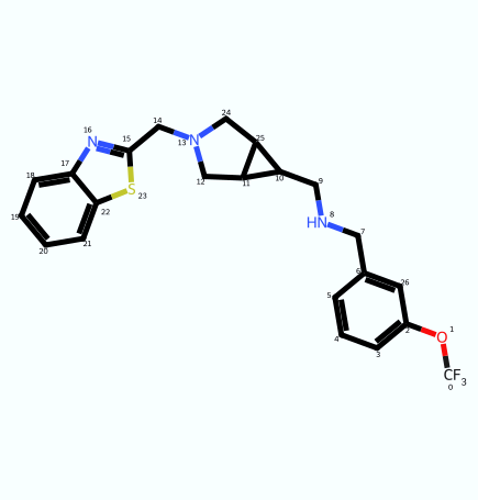 FC(F)(F)Oc1cccc(CNCC2C3CN(Cc4nc5ccccc5s4)CC23)c1